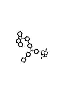 c1ccc(-c2ccc(N(c3ccc(-c4cccc(-n5c6ccccc6c6ccc7ccccc7c65)c4)cc3)c3ccc(C45C[C@@H]6CC7C[C@@H](C4)C76C5)cc3)cc2)cc1